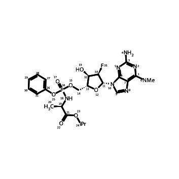 CNc1nc(N)nc2c1ncn2[C@@H]1O[C@H](COP(=O)(N[C@H](C)C(=O)OC(C)C)Oc2ccccc2)[C@@H](O)[C@H]1F